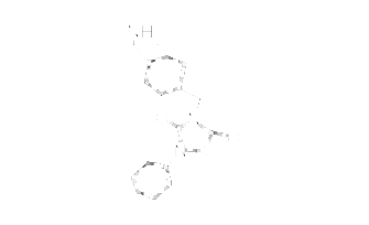 NCc1ccc(Cn2c(=O)sn(-c3ccccc3)c2=O)cc1